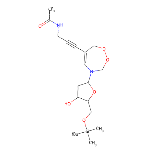 CC(C)(C)[Si](C)(C)OCC1OC(N2C=C(C#CCNC(=O)C(F)(F)F)COOC2)CC1O